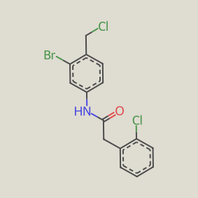 O=C(Cc1ccccc1Cl)Nc1ccc(CCl)c(Br)c1